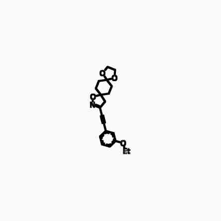 CCOc1cccc(C#CC2=NOC3(CCC4(CC3)OCCO4)C2)c1